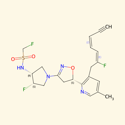 C#C/C=C\C=C(\F)Cc1cc(C)cnc1[C@@H]1CC(N2C[C@H](F)[C@H](NS(=O)(=O)CF)C2)=NO1